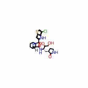 O=C1NCC[C@@H]1C[C@H](NC(=O)[C@@H]1C2CCC(CC2)N1C(=O)c1cc2scc(Cl)c2[nH]1)C(=O)CO